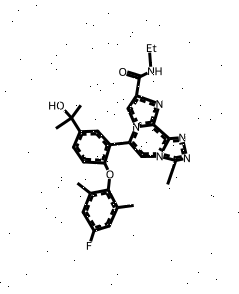 CCNC(=O)c1cn2c(-c3cc(C(C)(C)O)ccc3Oc3c(C)cc(F)cc3C)cn3c(C)nnc3c2n1